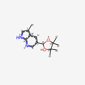 Cc1c[nH]c2ncc(C3OC(C)(C)C(C)(C)O3)cc12